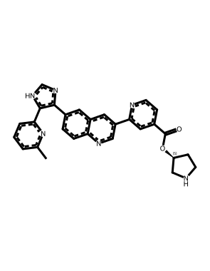 Cc1cccc(-c2[nH]cnc2-c2ccc3ncc(-c4cc(C(=O)O[C@H]5CCNC5)ccn4)cc3c2)n1